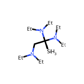 CCN(CC)CC([SiH3])(N(CC)CC)N(CC)CC